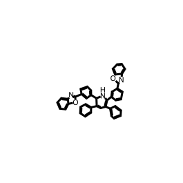 C1=C(c2ccccc2)C(c2cccc(-c3nc4ccccc4o3)c2)NC(c2cccc(-c3nc4ccccc4o3)c2)=C1c1ccccc1